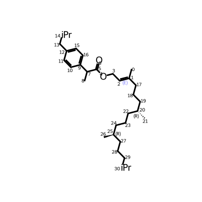 C/C(=C\COC(=O)C(C)c1ccc(CC(C)C)cc1)CCC[C@H](C)CCC[C@H](C)CCCC(C)C